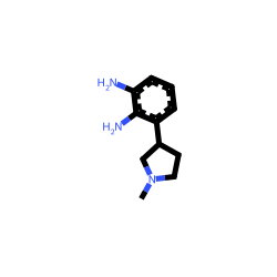 CN1CCC(c2cccc(N)c2N)C1